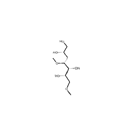 COC[C@H](O)[C@@H](O)[C@@H](C[C@H](O)CO)OC